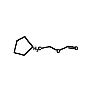 C1CCCC1.CCOC=O